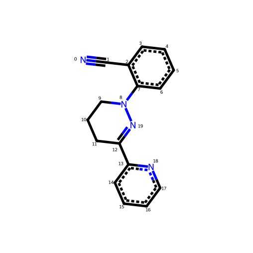 N#Cc1ccccc1N1CCCC(c2ccccn2)=N1